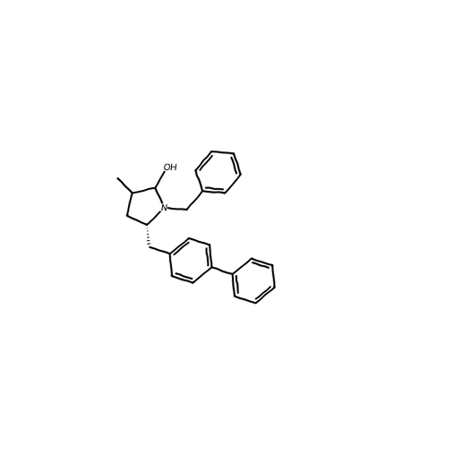 CC1C[C@@H](Cc2ccc(-c3ccccc3)cc2)N(Cc2ccccc2)C1O